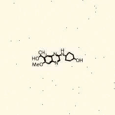 COc1cc2ncc(NC3CCC(O)CC3)nc2cc1C(C)O